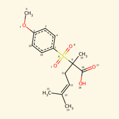 COc1ccc(S(=O)(=O)C(C)(CC=C(C)C)C(=O)O)cc1